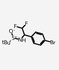 CC(C)(C)[S@+]([O-])NC(c1ccc(Br)cc1)C(F)F